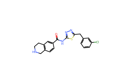 O=C(Nc1nnc(Cc2cccc(Cl)c2)s1)c1ccc2c(c1)CCNC2